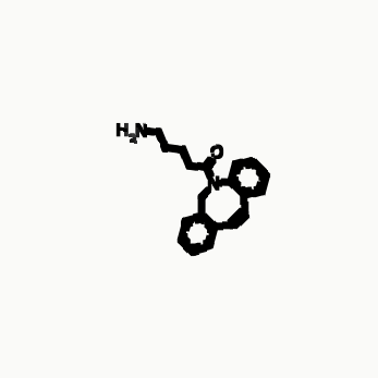 NCCCCC(=O)N1Cc2ccccc2C#Cc2ccccc21